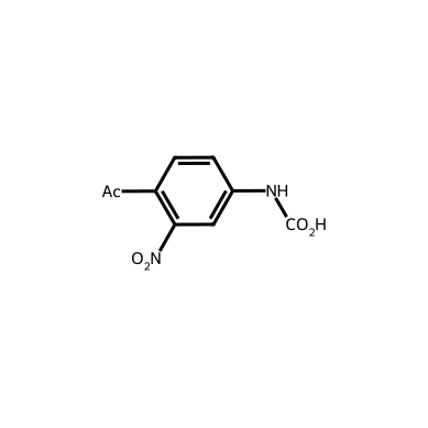 CC(=O)c1ccc(NC(=O)O)cc1[N+](=O)[O-]